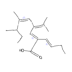 CC/C=C/C(=C\C(/C=C(/C)C(C)CC)=C(C)C)C(=O)O